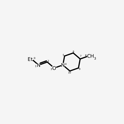 CC/N=C/ON1CCC(C)CC1